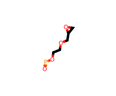 O=POCCOCC1CO1